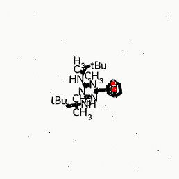 CC(C)(C)CC(C)(C)Nc1nc(NC(C)(C)CC(C)(C)C)nc(N2CC3CCC(CC3)C2)n1